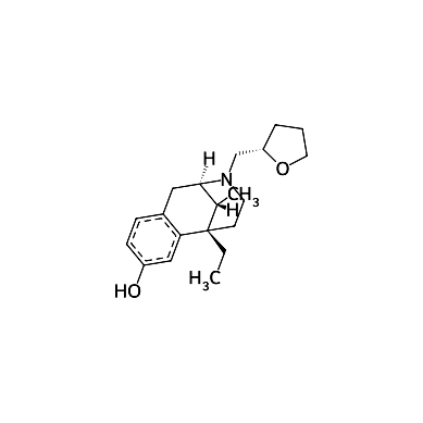 CC[C@@]12CCN(C[C@@H]3CCCO3)[C@H](Cc3ccc(O)cc31)[C@@H]2C